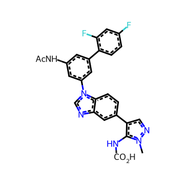 CC(=O)Nc1cc(-c2ccc(F)cc2F)cc(-n2cnc3cc(-c4cnn(C)c4NC(=O)O)ccc32)c1